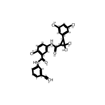 C#Cc1cccc(NC(=O)c2cc(NC(=O)C3C(c4cc(Cl)cc(Cl)c4)C3(Cl)Cl)ccc2Cl)c1